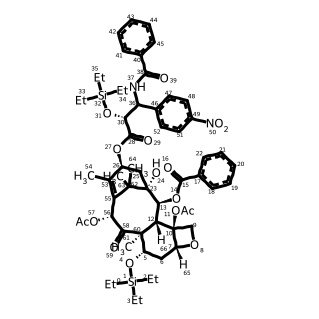 CC[Si](CC)(CC)O[C@H]1C[C@H]2OC[C@@]2(OC(C)=O)[C@H]2[C@H](OC(=O)c3ccccc3)[C@]3(O)C[C@H](OC(=O)[C@H](O[Si](CC)(CC)CC)C(NC(=O)c4ccccc4)c4ccc([N+](=O)[O-])cc4)C(C)=C([C@@H](OC(C)=O)C(=O)[C@]12C)C3(C)C